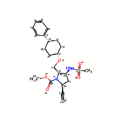 C#C[C@@H]1C[C@H](NS(C)(=O)=O)[C@H](CO[C@H]2CC[C@@H](c3ccccc3)CC2)N1C(=O)OC